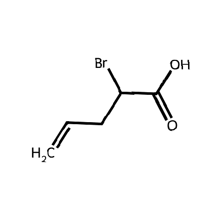 C=CCC(Br)C(=O)O